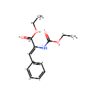 CCOC(=O)NC(=Cc1ccccc1)C(=O)OCC